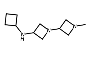 CN1CC(N2CC(NC3CCC3)C2)C1